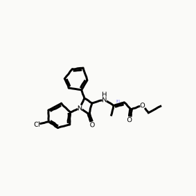 CCOC(=O)/C=C(\C)NC1C(=O)N(c2ccc(Cl)cc2)C1c1ccccc1